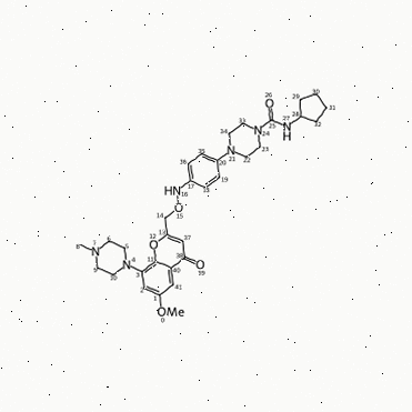 COc1cc(N2CCN(C)CC2)c2oc(CONc3ccc(N4CCN(C(=O)NC5CCCC5)CC4)cc3)cc(=O)c2c1